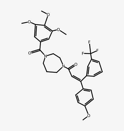 COc1ccc(C(=CC(=O)N2CCCN(C(=O)c3cc(OC)c(OC)c(OC)c3)CC2)c2cccc(C(F)(F)F)c2)cc1